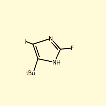 CC(C)(C)c1[nH]c(F)nc1I